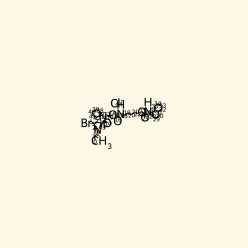 CCC[n+]1cc(Br)cc(C(=O)N(CCOC(=O)NCCCCCOC(=O)Nc2cccc3ccccc23)c2ccccc2)c1.[Cl-]